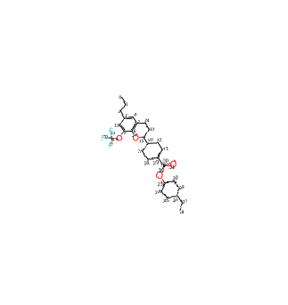 CCCc1cc2c(c(OC(F)(F)F)c1)OC(C1CCC(C(=O)OC3CCC(CC)CC3)CC1)CC2